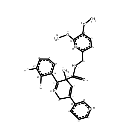 COc1ccc(CNC(=O)C2(C)C=C(c3cccnc3)CN=C2c2cccc(F)c2F)nc1OC